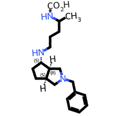 CC(CCCN[C@H]1CC[C@@H]2CN(Cc3ccccc3)C[C@@H]21)NC(=O)O